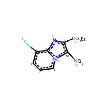 CCOC(=O)c1nc2c(F)cccn2c1[N+](=O)[O-]